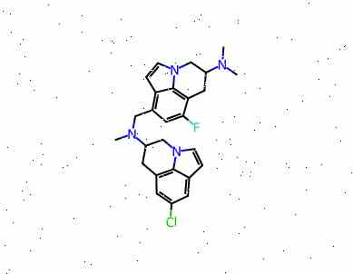 CN(C)C1Cc2c(F)cc(CN(C)C3Cc4cc(Cl)cc5ccn(c45)C3)c3ccn(c23)C1